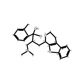 CCC(O)(c1ccccc1C)C(CC1OCCc2c1oc1ccccc21)CN(C)C